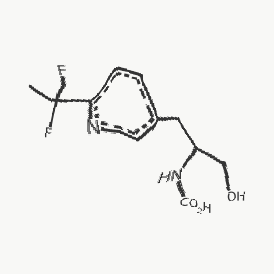 CC(F)(F)c1ccc(CC(CO)NC(=O)O)cn1